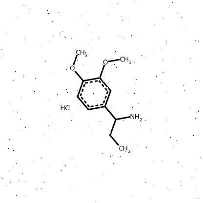 CCC(N)c1ccc(OC)c(OC)c1.Cl